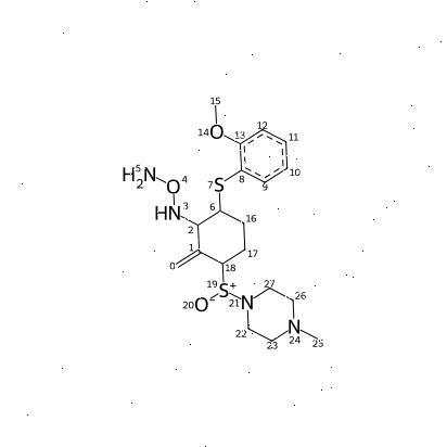 C=C1C(NON)C(Sc2ccccc2OC)CCC1[S+]([O-])N1CCN(C)CC1